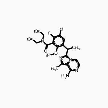 Cc1nc(C(C)c2cc(Cl)c(F)c(C(=O)N(CC(C)(C)C)CC(C)(C)C)c2OC(C)C)n2ccnc(N)c12